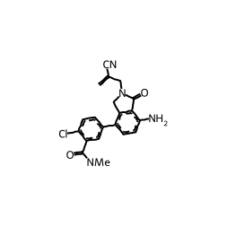 C=C(C#N)CN1Cc2c(-c3ccc(Cl)c(C(=O)NC)c3)ccc(N)c2C1=O